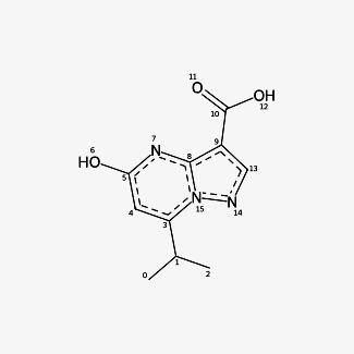 CC(C)c1cc(O)nc2c(C(=O)O)cnn12